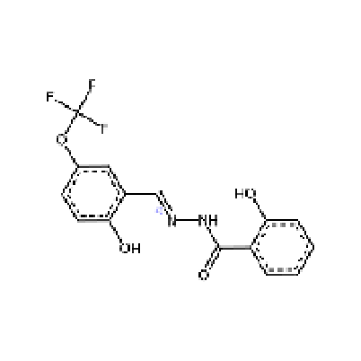 O=C(N/N=C/c1cc(OC(F)(F)F)ccc1O)c1ccccc1O